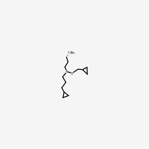 CC[C@@H](C)CCCN(CCCC1CC1)OCC1CC1